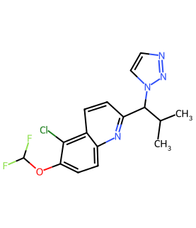 CC(C)C(c1ccc2c(Cl)c(OC(F)F)ccc2n1)n1ccnn1